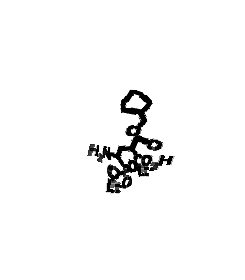 CCOP(=O)(OCC)C(N)CC(C(=O)O)C(=O)OCc1ccccc1